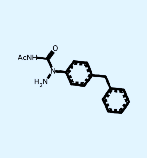 CC(=O)NC(=O)N(N)c1ccc(Cc2ccccc2)cc1